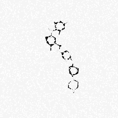 Cc1cc(C)c(N(C(=O)O)c2ccc(C)c(C(=O)Nc3cnc(Nc4ccc(N5CCN(C)CC5)cc4)nc3)c2)c(C)c1